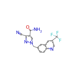 N#Cc1nn(Cc2ccc3ncc(C(F)(F)F)cc3c2)cc1C(N)=O